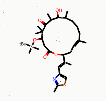 C/C1=C\CC(/C(C)=C/c2csc(C)n2)OC(=O)CC(O[Si](C)(C)C(C)(C)C)C(C)(C)C(=O)C(C)C(O)C(C)CCC1